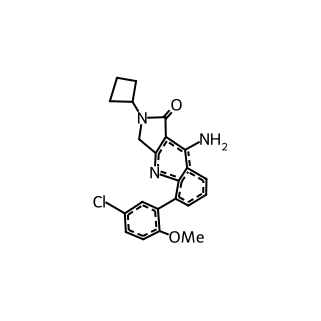 COc1ccc(Cl)cc1-c1cccc2c(N)c3c(nc12)CN(C1CCC1)C3=O